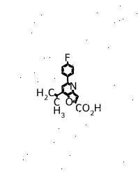 C=C(C)c1cc(-c2ccc(F)cc2)nc2cc(C(=O)O)oc12